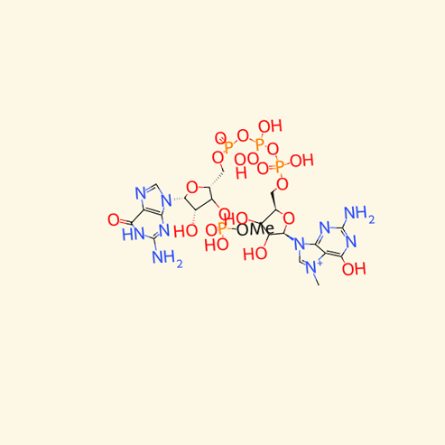 COP(=O)(O)OC1[C@@H](COP(=O)(O)OP(=O)(O)OP(=O)(O)OC[C@H]2O[C@@H](n3c[n+](C)c4c(O)nc(N)nc43)C(O)C2O)O[C@@H](n2cnc3c(=O)[nH]c(N)nc32)[C@H]1O